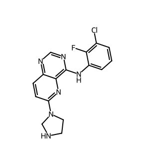 Fc1c(Cl)cccc1Nc1ncnc2ccc(N3CCNC3)nc12